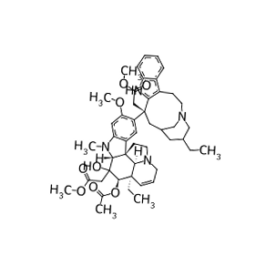 CCC1CC2CN(CCc3c([nH]c4ccccc34)[C@@](CC(=O)OC)(c3cc4c(cc3OC)N(C)[C@H]3C(O)(CC(=O)OC)[C@H](OC(C)=O)[C@]5(CC)C=CCN6CC[C@]43[C@@H]65)C2)C1